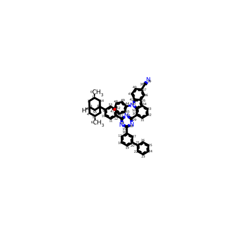 C[C@@H]1C[C@@H]2C[C@H](C)CC(c3ccc(-c4nc(-c5cccc(-c6ccccc6)c5)nc(-c5cccc6c7cc(C#N)ccc7n(-c7ccccc7)c56)n4)cc3)(C1)C2